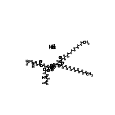 CCCCCCCCCCCCCC(=O)OCC(COP(=O)(O)OCC(COC(=O)CCNCC1CC1)OC(=O)CCNCC1CC1)OC(=O)CCCCCCCCCCCCC.Cl.Cl